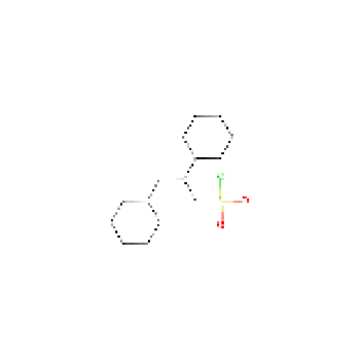 O=S(=O)(Cl)CC(CC1CCCCC1)C1CCCCC1